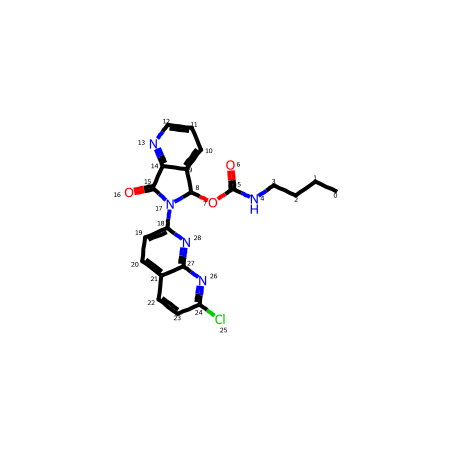 CCCCNC(=O)OC1c2cccnc2C(=O)N1c1ccc2ccc(Cl)nc2n1